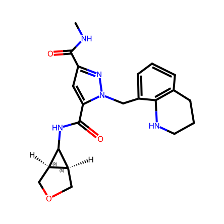 CNC(=O)c1cc(C(=O)NC2[C@H]3COC[C@@H]23)n(Cc2cccc3c2NCCC3)n1